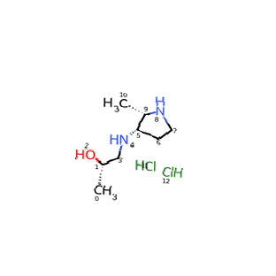 C[C@H](O)CN[C@H]1CCN[C@H]1C.Cl.Cl